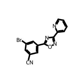 N#Cc1cc(Br)cc(-c2nc(-c3ccccn3)no2)c1